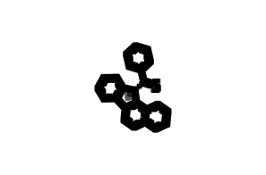 S=C(c1ccccc1)[C@H]1c2ccccc2-c2ccc3ccccc3c21